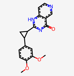 COc1ccc(C2CC2c2nc(=O)c3cnccc3[nH]2)cc1OC